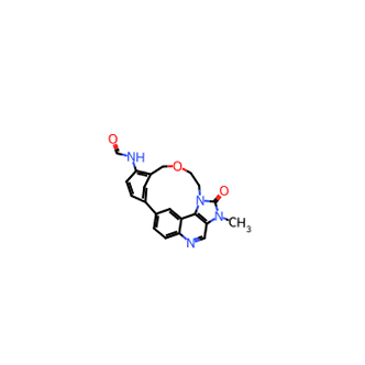 Cn1c(=O)n2c3c4cc(ccc4ncc31)-c1ccc(NC=O)c(c1)COCC2